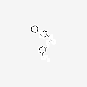 O=C(N=c1ccn(-c2ccccc2)nc1)SCc1cccc(C(F)(F)F)c1